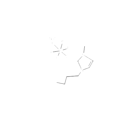 CCCCN1C=CN(C)C1.F[P-](F)(F)(F)(F)F.[Na+]